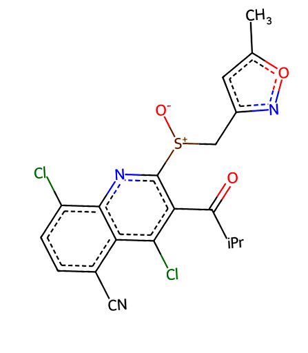 Cc1cc(C[S+]([O-])c2nc3c(Cl)ccc(C#N)c3c(Cl)c2C(=O)C(C)C)no1